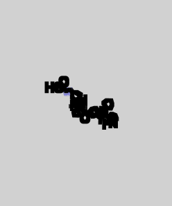 Cc1c(-c2cccnc2F)n(C2CCCCC2)c2ccc(C(=O)NC3(c4nc5c(n4C)CC(/C=C/C(=O)O)C=C5)CCC3)cc12